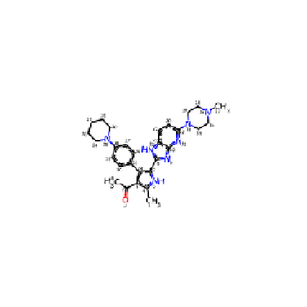 CC(=O)c1c(C)[nH]c(-c2nc3nc(N4CCN(C)CC4)ccc3[nH]2)c1-c1ccc(N2CCCCC2)cc1